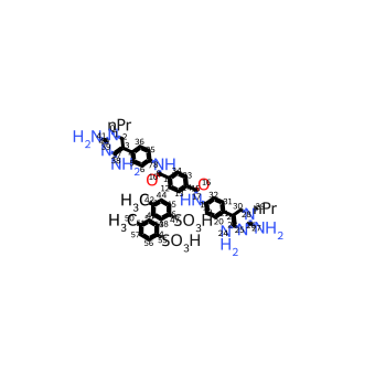 CCCN1CC(c2ccc(NC(=O)c3ccc(C(=O)Nc4ccc(C5=C(N)N=C(N)N(CCC)C5)cc4)cc3)cc2)=C(N)N=C1N.Cc1ccc(S(=O)(=O)O)cc1.Cc1ccc(S(=O)(=O)O)cc1